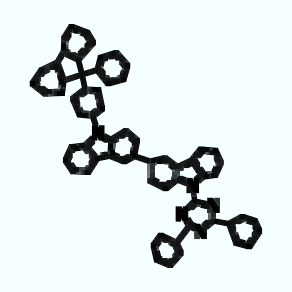 c1ccc(-c2nc(-c3ccccc3)nc(-n3c4ccccc4c4cc(-c5ccc6c(c5)c5ccccc5n6-c5ccc(C6(c7ccccc7)c7ccccc7-c7ccccc76)cc5)ccc43)n2)cc1